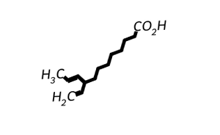 C=CC(C=CC)CCCCCCCC(=O)O